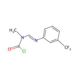 CN(C=Nc1cccc(C(F)(F)F)c1)C(=O)Cl